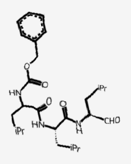 CC(C)CC(NC(=O)OCc1ccccc1)C(=O)N[C@@H](CC(C)C)C(=O)N[C@H](C=O)CC(C)C